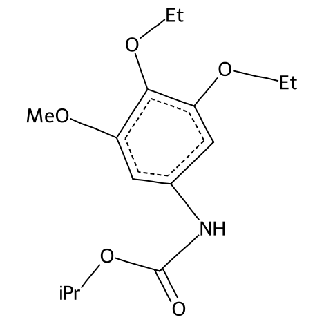 CCOc1cc(NC(=O)OC(C)C)cc(OC)c1OCC